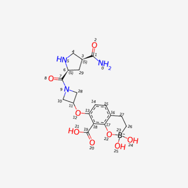 NC(=O)[C@@H]1CN[C@H](C(=O)N2CC(Oc3ccc4c(c3C(=O)O)O[B-](O)(O)CC4)C2)C1